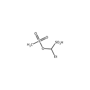 CCC(OS(C)(=O)=O)S(=O)(=O)O